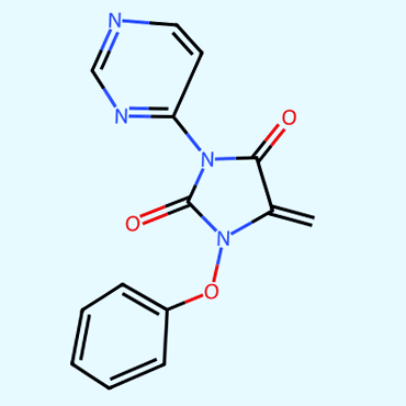 C=C1C(=O)N(c2ccncn2)C(=O)N1Oc1ccccc1